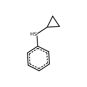 c1ccc([SiH]C2CC2)cc1